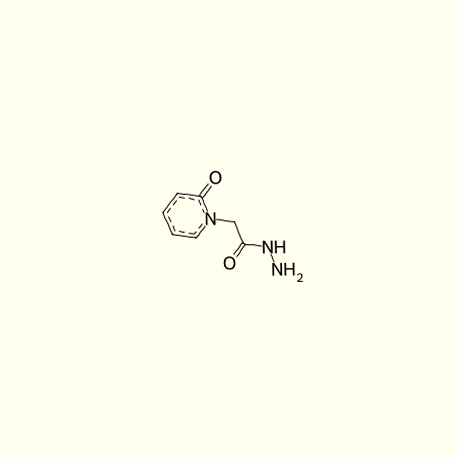 NNC(=O)Cn1ccccc1=O